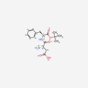 CC(C)(C)OC(=O)[C@H](Cc1ccccc1)NC(=O)[C@@H](N)CC(=O)O